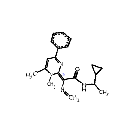 C=N/C(C(=O)NC(C)C1CC1)=C1/N=C(c2ccccc2)C=C(C)N1C